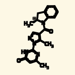 Cc1cc(=O)[nH]c(-n2ncc(C(=O)N3c4ccccc4C[C@@H]3C)c2C)n1